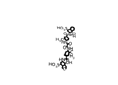 Cc1cc(C(=O)Nc2cc(S(=O)(=O)O)c3ccccc3c2O)ccc1NC(=O)C(=O)Nc1ccc(C(=O)Nc2cc(S(=O)(=O)O)c3ccccc3c2O)cc1C